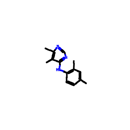 Cc1ccc(Nc2ncnc(C)c2C)c(C)c1